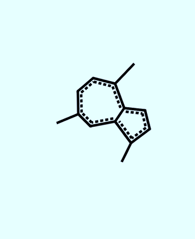 Cc1ccc(C)c2ccc(C)c-2c1